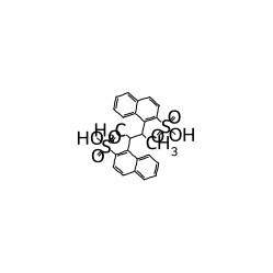 CC(c1c(S(=O)(=O)O)ccc2ccccc12)C(C)c1c(S(=O)(=O)O)ccc2ccccc12